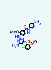 CCCS(=O)(=O)c1ccccc1Nc1nc(Nc2ccc(C(=O)NC3CCC(N)CC3)cc2OC)nc(N)c1Cl